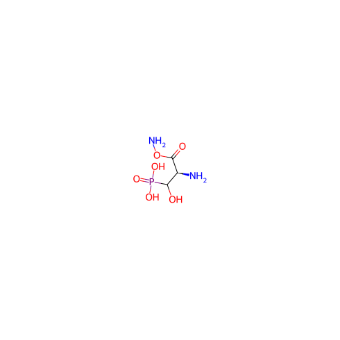 NOC(=O)[C@@H](N)C(O)P(=O)(O)O